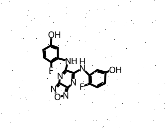 Oc1ccc(F)c(Nc2nc3nonc3nc2Nc2cc(O)ccc2F)c1